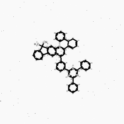 CC1(C)c2ccccc2-c2cc3c(-c4cccc(-c5nc(-c6ccccc6)nc(-c6ccccc6)n5)c4)cc(C4=CC=CCC4c4ccccc4)nc3cc21